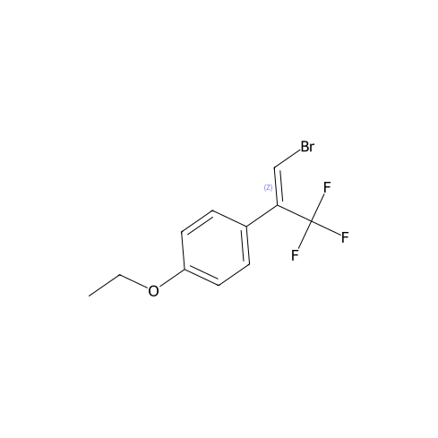 CCOc1ccc(/C(=C/Br)C(F)(F)F)cc1